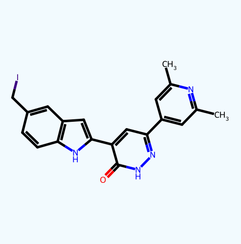 Cc1cc(-c2cc(-c3cc4cc(CI)ccc4[nH]3)c(=O)[nH]n2)cc(C)n1